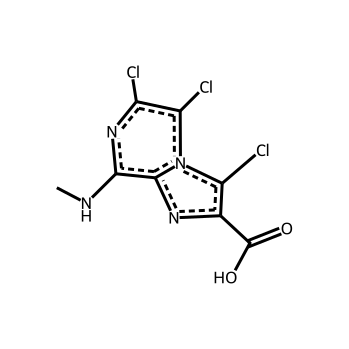 CNc1nc(Cl)c(Cl)n2c(Cl)c(C(=O)O)nc12